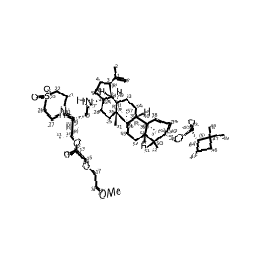 C=C(C)[C@@H]1CC[C@]2(NC[C@H]([C@@H](C)OC(=O)COCCOC)N3CCS(=O)(=O)CC3)CC[C@]3(C)[C@H](CC[C@@H]4[C@@]5(C)CC[C@H](OC(=O)[C@H]6CCC6(C)C)C(C)(C)[C@@H]5CC[C@]43C)[C@@H]12